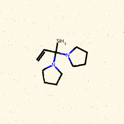 C=CC([SiH3])(N1CCCC1)N1CCCC1